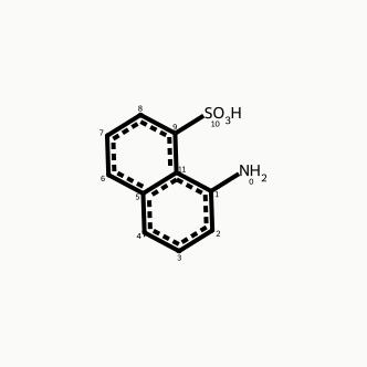 Nc1cc[c]c2cccc(S(=O)(=O)O)c12